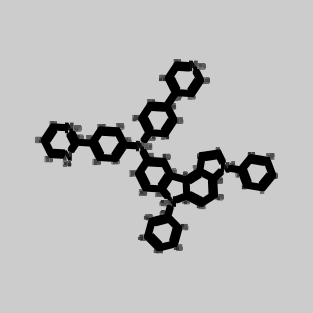 c1ccc(-n2ccc3c4c5cc(N(c6ccc(-c7ccncc7)cc6)c6ccc(-c7ncccn7)cc6)ccc5n(-c5ccccc5)c4ccc32)cc1